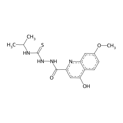 COc1ccc2c(O)cc(C(=O)NNC(=S)NC(C)C)nc2c1